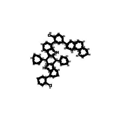 Clc1ccccc1-c1cccc2c3c([nH]c12)C(c1ccccc1)c1c([nH]c2c(-c4cc(-c5cnc6c(ccc7cccnc76)c5)ccc4Cl)cccc12)C3c1ccccc1